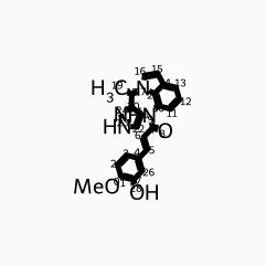 COc1ccc(/C=C/C(=O)Nc2cccc3ccn(C(C)c4cc[nH]n4)c23)cc1O